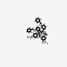 Cc1ccc(S(=O)(=O)O[C@@H](c2cccc(OCc3ccccc3)c2)[C@@H](OS(=O)(=O)c2ccc(C)cc2)c2cccc(OCc3ccccc3)c2)cc1